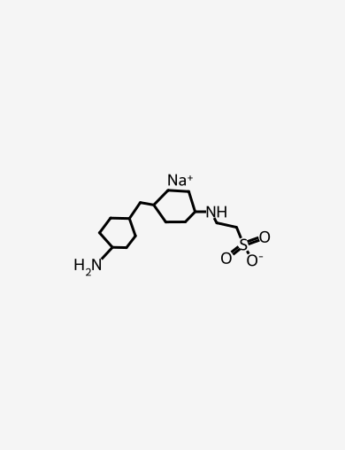 NC1CCC(CC2CCC(NCCS(=O)(=O)[O-])CC2)CC1.[Na+]